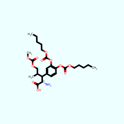 CCCCCOC(=O)Oc1ccc(C(C(C)COC(=O)OC)[C@H](N)C(=O)O)cc1OC(=O)OCCCCC